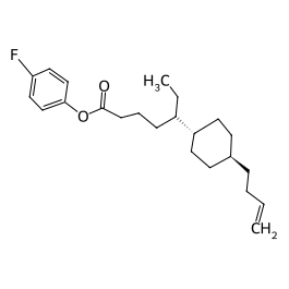 C=CCC[C@H]1CC[C@H](C(CC)CCCC(=O)Oc2ccc(F)cc2)CC1